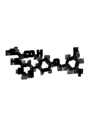 CCCC[C@H](Nc1cc(-c2ccc(OCc3cc(F)cc(F)c3)cc2)ncn1)C(=O)O